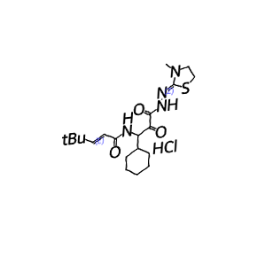 CN1CCS/C1=N\NC(=O)C(=O)C(NC(=O)/C=C/C(C)(C)C)C1CCCCC1.Cl